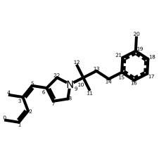 C/C=C\C(C)=C/C1=CCN(C(C)(C)CCc2cccc(C)c2)C1